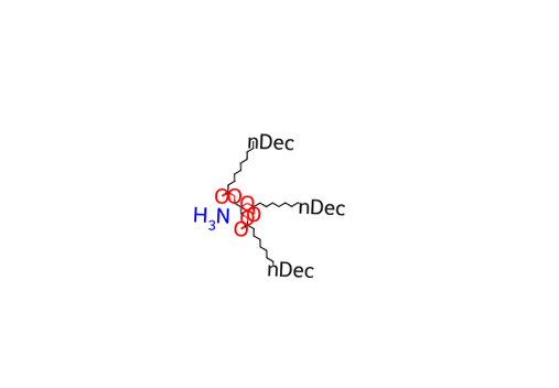 CCCCCCCCCCCCCCCCCCC(=O)OCC(COC(=O)CCCCCCCCCCCCCCCCC)OC(=O)CCCCCCCCCCCCCCCCC.N